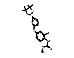 CC(C)(C)OC(=O)Nc1ccc(Oc2nc(B3OC(C)(C)C(C)(C)O3)cs2)cc1F